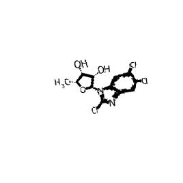 C[C@H]1O[C@H](n2c(Cl)nc3cc(Cl)c(Cl)cc32)[C@@H](O)[C@H]1O